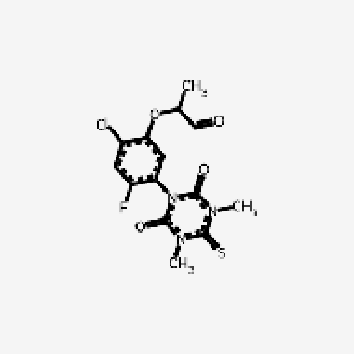 CC(C=O)Oc1cc(-n2c(=O)n(C)c(=S)n(C)c2=O)c(F)cc1Cl